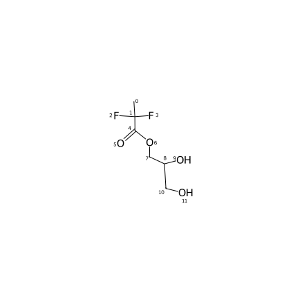 CC(F)(F)C(=O)OCC(O)CO